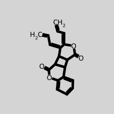 C=C/C=C1\C(=C/C=C)OC(=O)C2C1C1C(=O)Oc3ccccc3C21